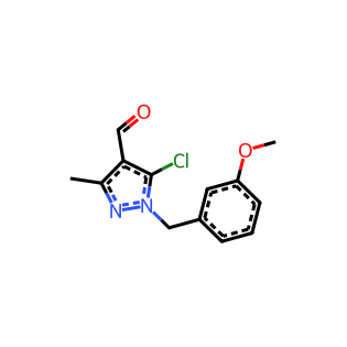 COc1cccc(Cn2nc(C)c(C=O)c2Cl)c1